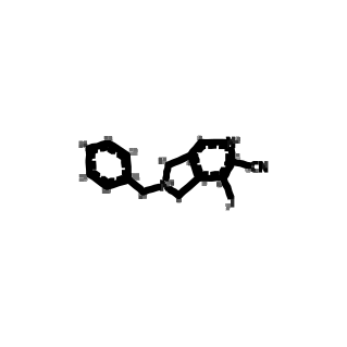 N#Cc1ncc2c(c1I)CN(Cc1ccccc1)C2